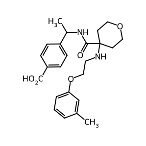 Cc1cccc(OCCNC2(C(=O)NC(C)c3ccc(C(=O)O)cc3)CCOCC2)c1